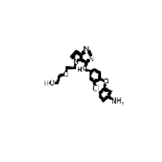 Nc1cccc(Oc2ccc(Nc3ncnc4ccn(CCOCCO)c34)cc2Cl)c1